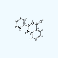 O=c1oc(-c2ncccn2)nc2ccccc12